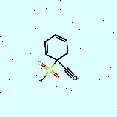 C#CC1(S(=O)(=O)C(C)C)C=CC=CC1